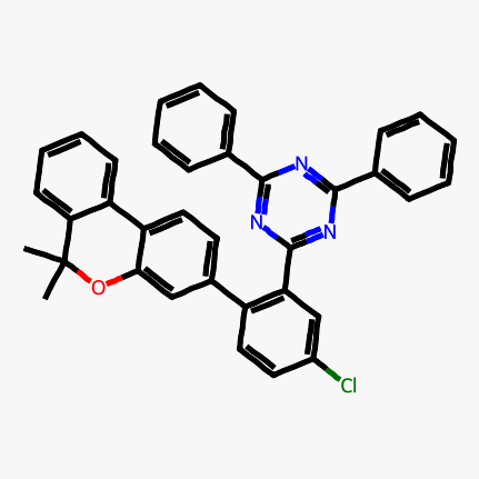 CC1(C)Oc2cc(-c3ccc(Cl)cc3-c3nc(-c4ccccc4)nc(-c4ccccc4)n3)ccc2-c2ccccc21